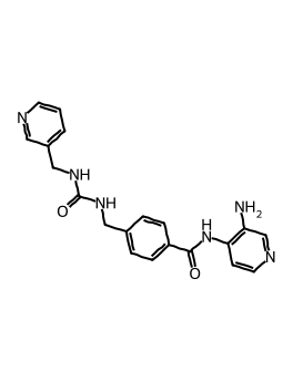 Nc1cnccc1NC(=O)c1ccc(CNC(=O)NCc2cccnc2)cc1